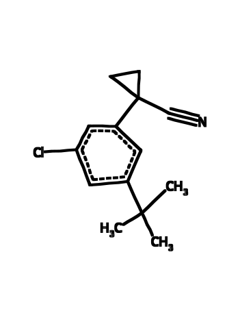 CC(C)(C)c1cc(Cl)cc(C2(C#N)CC2)c1